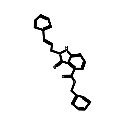 O=C(OCc1ccccc1)c1cccc2[nH]n(CC=Cc3ccccc3)c(=O)c12